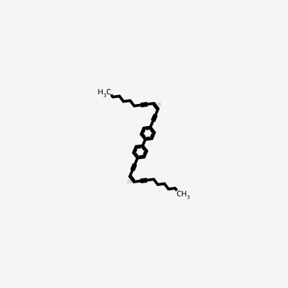 CCCCCCC#C/C=C\C#Cc1ccc(-c2ccc(C#C/C=C\C#CCCCCCC)cc2)cc1